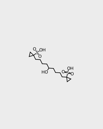 O=S(=O)(O)C1(CCCCC(O)CCCCC2(S(=O)(=O)O)CC2)CC1